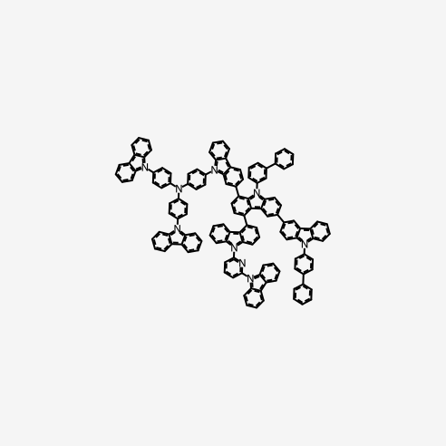 c1ccc(-c2ccc(-n3c4ccccc4c4cc(-c5ccc6c(c5)c5c(-c7cccc8c7c7ccccc7n8-c7cccc(-n8c9ccccc9c9ccccc98)n7)ccc(-c7ccc8c9ccccc9n(-c9ccc(N(c%10ccc(-n%11c%12ccccc%12c%12ccccc%12%11)cc%10)c%10ccc(-n%11c%12ccccc%12c%12ccccc%12%11)cc%10)cc9)c8c7)c5n6-c5cccc(-c6ccccc6)c5)ccc43)cc2)cc1